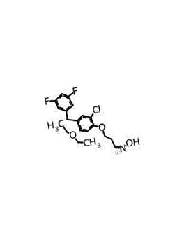 CCOCC.O/N=C\CCOc1ccc(Cc2cc(F)cc(F)c2)cc1Cl